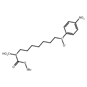 CC(C)(C)OC(=O)N(CCCCCCC[S+]([O-])c1ccc([N+](=O)[O-])cc1)C(=O)O